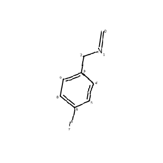 C=NCc1ccc(F)cc1